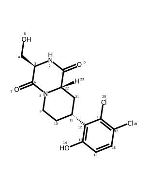 O=C1N[C@H](CO)C(=O)N2CC[C@@H](c3c(O)ccc(Cl)c3Cl)C[C@@H]12